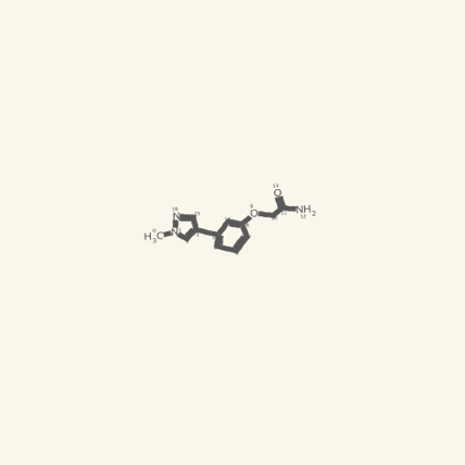 Cn1cc(-c2c[c]cc(OCC(N)=O)c2)cn1